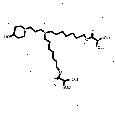 CCCCCCCCC(CCCCCCCC)C(=O)OCCCCCCCN(CCCCCCCOC(=O)C(CCCCCCCC)CCCCCCCC)CCCN1CCC(O)CC1